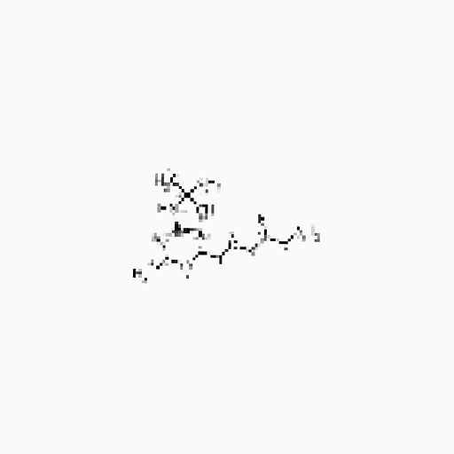 CC(OCCOCC(F)CN)OC(=O)NC(C)(C)C